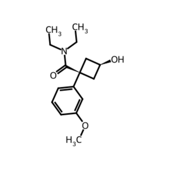 CCN(CC)C(=O)[C@]1(c2cccc(OC)c2)C[C@H](O)C1